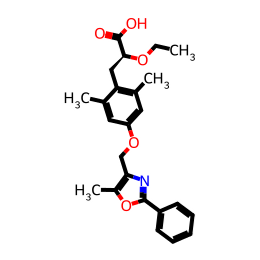 CCO[C@@H](Cc1c(C)cc(OCc2nc(-c3ccccc3)oc2C)cc1C)C(=O)O